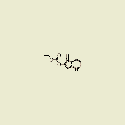 CCOC(=O)Oc1cc2ncccc2[nH]1